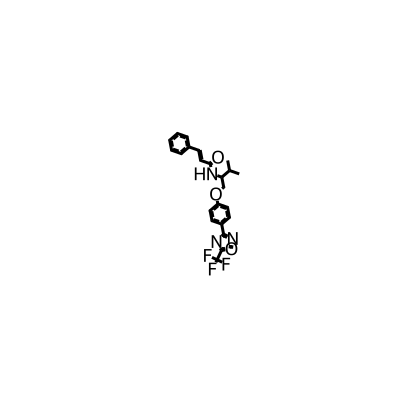 CC(C)C(COc1ccc(-c2noc(C(F)(F)F)n2)cc1)NC(=O)C=Cc1ccccc1